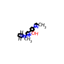 Cc1ccn(-c2ccc(-c3ccc(N(C)C4C[C@H]5CC[C@@H](C4)N5)nn3)c(O)c2)n1